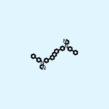 c1ccc(-c2ccc(N(c3ccc(-c4ccc5cc6cc(-c7ccc(N(c8ccc(-c9ccccc9)cc8)c8cccnc8)cc7)ccc6cc5c4)cc3)c3cccnc3)cc2)cc1